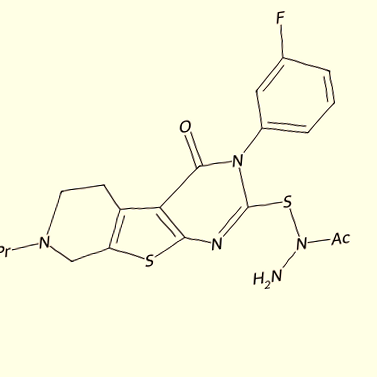 CCCN1CCc2c(sc3nc(SN(N)C(C)=O)n(-c4cccc(F)c4)c(=O)c23)C1